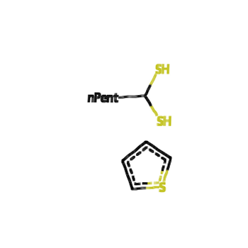 CCCCCC(S)S.c1ccsc1